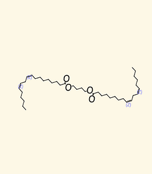 CCCCC/C=C\C/C=C\CCCCCCCC(=O)OCCCCOC(=O)CCCCCCC/C=C\C/C=C\CCCCC